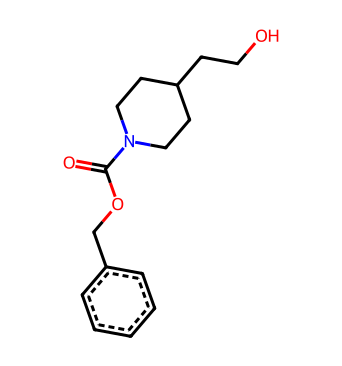 O=C(OCc1ccccc1)N1CCC(CCO)CC1